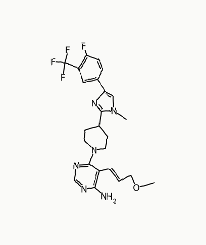 COCC=Cc1c(N)ncnc1N1CCC(c2nc(-c3ccc(F)c(C(F)(F)F)c3)cn2C)CC1